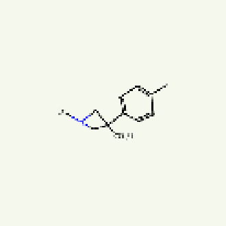 CCOC(=O)C1(c2ccc(C)cc2)CN(CC)C1